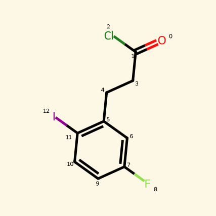 O=C(Cl)CCc1cc(F)ccc1I